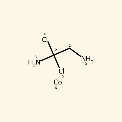 NCC(N)(Cl)Cl.[Co]